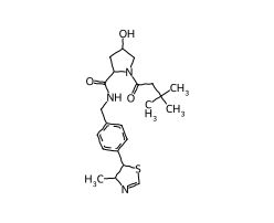 CC1N=CSC1c1ccc(CNC(=O)C2CC(O)CN2C(=O)CC(C)(C)C)cc1